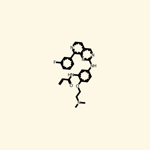 C=CC(=O)Nc1cc(Nc2ncc3ccnc(-c4cccc(F)c4)c3n2)ccc1OCCN(C)C